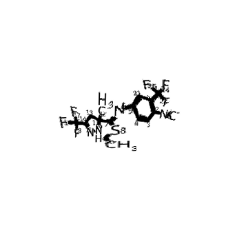 [C-]#[N+]c1ccc(/N=C(\SCC)C2(C)CC(C(F)(F)F)=NN2)cc1C(F)(F)F